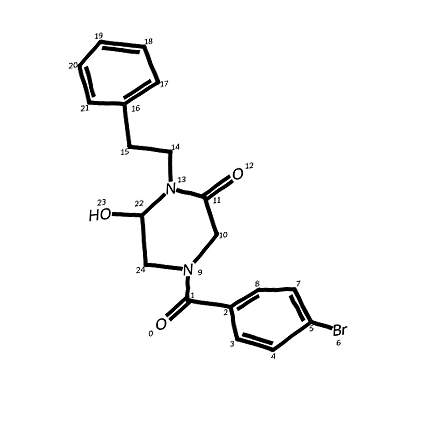 O=C(c1ccc(Br)cc1)N1CC(=O)N(CCc2ccccc2)C(O)C1